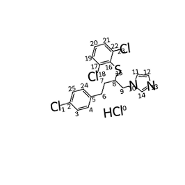 Cl.Clc1ccc(CCC(Cn2ccnc2)Sc2c(Cl)cccc2Cl)cc1